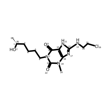 C[C@@H](O)CCCCn1c(=O)c2[nH]c(NCCCl)nc2n(C)c1=O